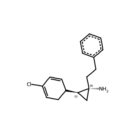 N[C@]1(CCc2ccccc2)C[C@H]1C1C=CC(Cl)=CC1